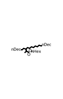 CCCCCCCCCCCCCCCCCCC(CCCCCCCCCCCC)=C(C)C(=O)OCCCCCC